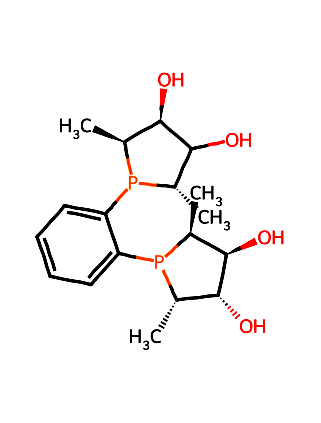 C[C@H]1C(O)[C@H](O)[C@H](C)P1c1ccccc1P1[C@@H](C)[C@@H](O)[C@H](O)[C@@H]1C